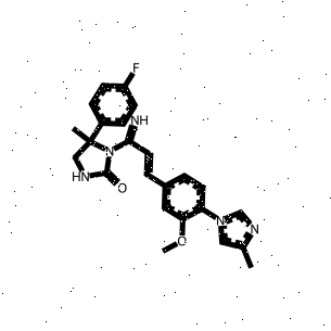 COc1cc(/C=C/C(=N)N2C(=O)NCC2(C)c2ccc(F)cc2)ccc1-n1cnc(C)c1